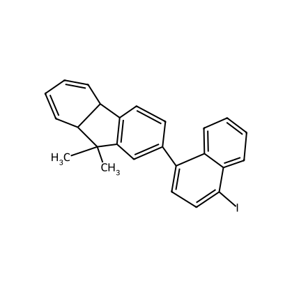 CC1(C)c2cc(-c3ccc(I)c4ccccc34)ccc2C2C=CC=CC21